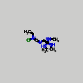 CC[N+](Cl)=C=NCC(NC)(NC)NC